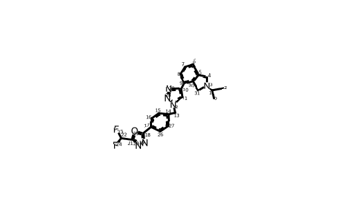 CC(C)N1Cc2cccc(-c3cn(Cc4ccc(-c5nnc(C(F)F)o5)cc4)nn3)c2C1